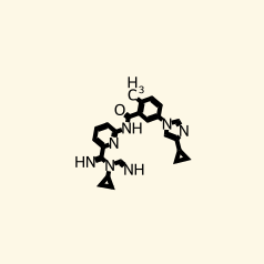 Cc1ccc(-n2cnc(C3CC3)c2)cc1C(=O)Nc1cccc(C(=N)N(C=N)C2CC2)n1